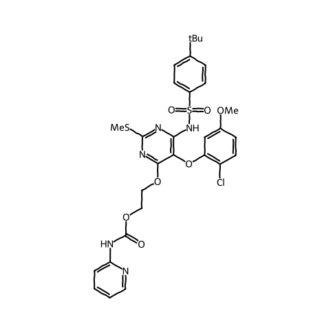 COc1ccc(Cl)c(Oc2c(NS(=O)(=O)c3ccc(C(C)(C)C)cc3)nc(SC)nc2OCCOC(=O)Nc2ccccn2)c1